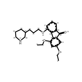 CCOc1cc(OCC)c2c(c1)C(=O)c1cccc(OCCCC3CCCNC3)c1-2